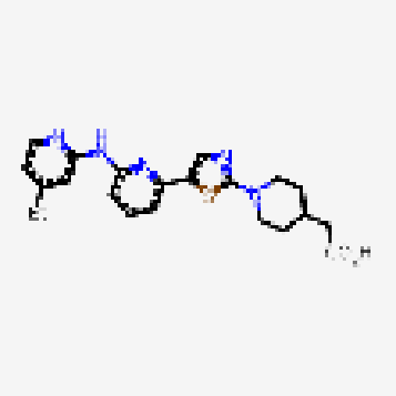 CCc1ccnc(Nc2cccc(-c3cnc(N4CCC(CC(=O)O)CC4)s3)n2)c1